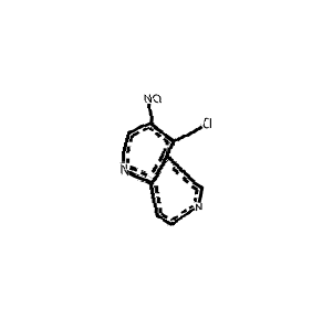 O=Nc1cnc2ccncc2c1Cl